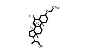 COCOC1CC[C@@]2(C)C(C1)C(O)C=C1[C@@H]3CC[C@H](C(C)CO)[C@@]3(C)CC[C@@H]12